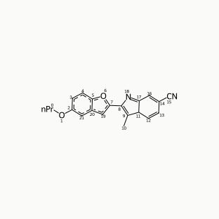 CCCOc1ccc2oc(C3=C(C)C4C=CC(C#N)=CC4=N3)cc2c1